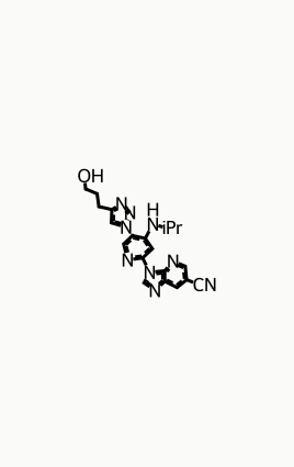 CC(C)Nc1cc(-n2cnc3cc(C#N)cnc32)ncc1-n1cc(CCCO)nn1